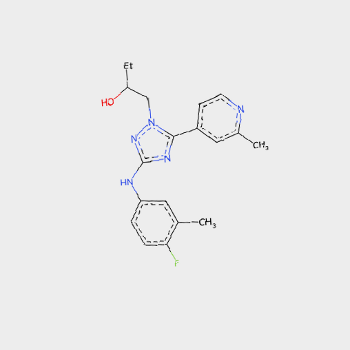 CCC(O)Cn1nc(Nc2ccc(F)c(C)c2)nc1-c1ccnc(C)c1